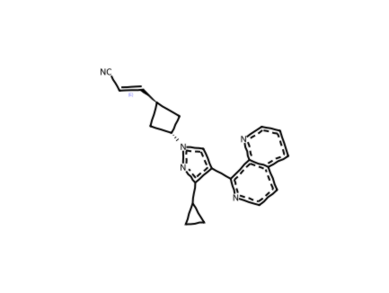 N#C/C=C/[C@H]1C[C@H](n2cc(-c3nccc4cccnc34)c(C3CC3)n2)C1